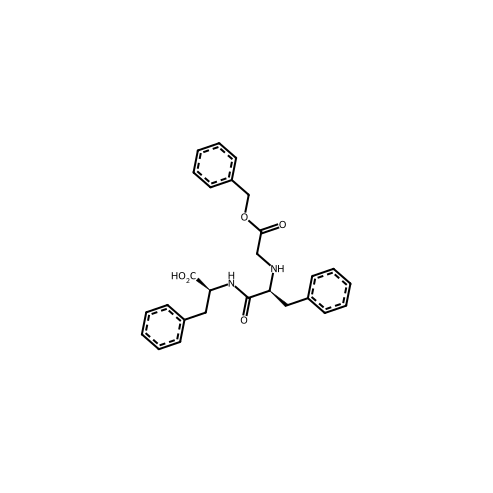 O=C(CN[C@@H](Cc1ccccc1)C(=O)N[C@@H](Cc1ccccc1)C(=O)O)OCc1ccccc1